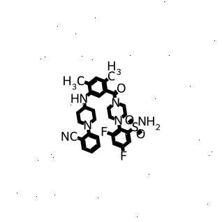 Cc1cc(C)c(C(=O)N2CCN(c3c(F)cc(F)cc3S(N)(=O)=O)CC2)cc1NC1CCN(c2ccccc2C#N)CC1